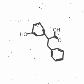 O=C(O)C(Cc1ccccc1)c1cccc(O)c1